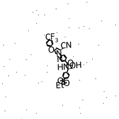 CCS(=O)(=O)c1ccc([C@H](CO)NC(=O)c2ccc(N3CC(Oc4ccc(C(F)(F)F)cc4)C[C@H]3CC#N)nc2)cc1